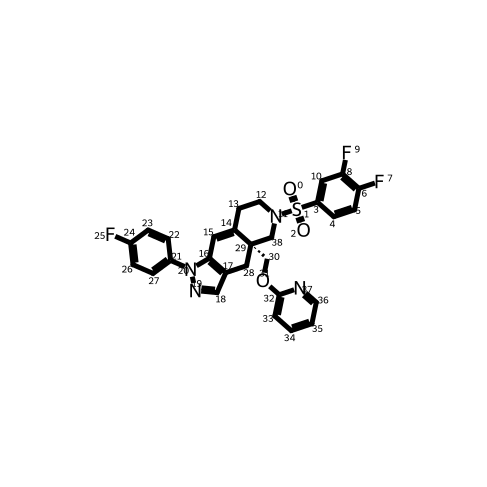 O=S(=O)(c1ccc(F)c(F)c1)N1CCC2=Cc3c(cnn3-c3ccc(F)cc3)C[C@]2(COc2ccccn2)C1